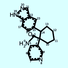 NC(=O)C1(c2cccnc2)CCCCC1c1ccc2[nH]ncc2c1